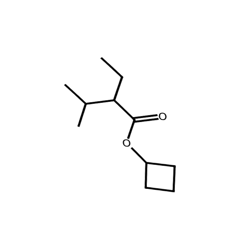 CCC(C(=O)OC1CCC1)C(C)C